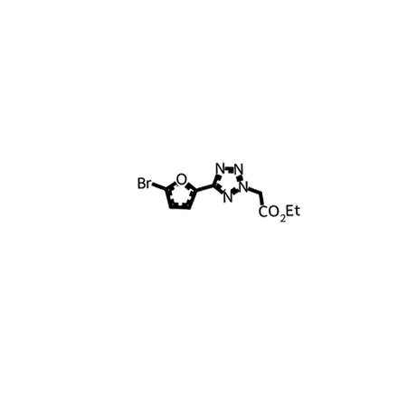 CCOC(=O)Cn1nnc(-c2ccc(Br)o2)n1